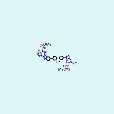 CCCN(Cc1ncc(-c2ccc3c(c2)COc2cc(-c4ccc5nc([C@@H]6C=C7C[C@H]7N6C(=O)CNC(=O)OC)[nH]c5c4)ccc2-3)[nH]1)C(=O)CNC(=O)OC